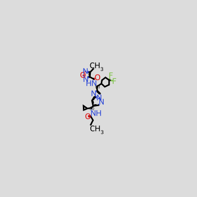 CCCC(=O)N[C@@H](c1cnn2cc([C@@H](NC(=O)c3nonc3CC)C3CCC(F)(F)CC3)nc2c1)C1CC1